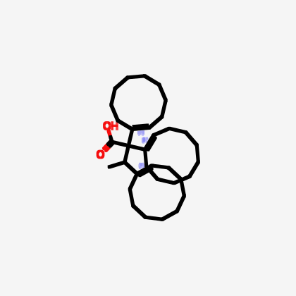 CC(/C1=C/CCCCCCCC1)C(C(=O)O)(/C1=C/CCCCCCCC1)/C1=C/CCCCCCCC1